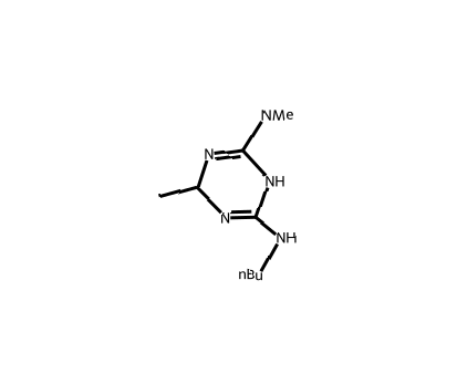 CCCCNC1=NC(C)N=C(NC)N1